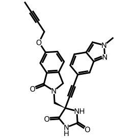 CC#CCOc1ccc2c(c1)C(=O)N(C[C@@]1(C#Cc3ccc4cn(C)nc4c3)NC(=O)NC1=O)C2